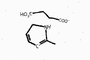 CC1=[C+]C=CCN1.O=C([O-])CCC(=O)O